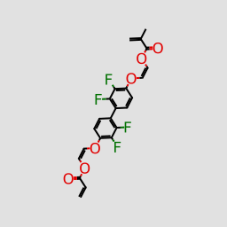 C=CC(=O)O/C=C\Oc1ccc(-c2ccc(O/C=C\OC(=O)C(=C)C)c(F)c2F)c(F)c1F